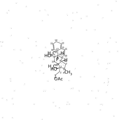 CC(=O)OCC[C@@]1(O)[C@H](C)C[C@H]2[C@@H]3C=CC4=CCC=C[C@]4(C)[C@@]3(F)[C@@H](O)C[C@@]21C